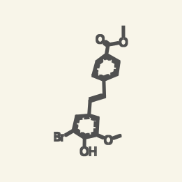 COC(=O)c1ccc(C=Cc2cc(Br)c(O)c(OC)c2)cc1